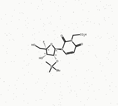 CC(C)(C)[Si](C)(C)O[C@H]1[C@H](n2ccc(=O)n(CC(=O)O)c2=O)O[C@](F)(CO)[C@H]1O